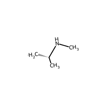 [CH2][C@@H](C)NC